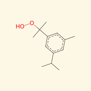 Cc1cc(C(C)C)cc(C(C)(C)OO)c1